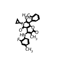 Cc1ccc(Nc2c(C)c(=O)oc3c(-c4ccccc4C)c(C)n(C4CC4)c(=O)c23)c(F)c1